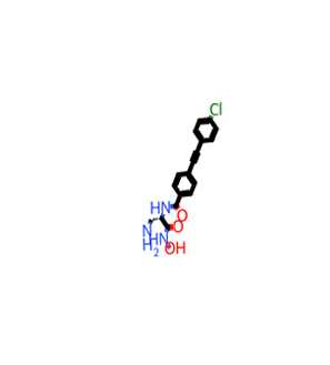 NC[C@H](NC(=O)c1ccc(C#Cc2ccc(Cl)cc2)cc1)C(=O)NO